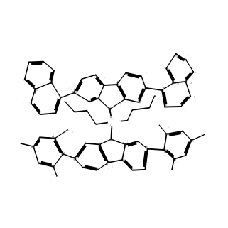 CCC[CH2][Zr]([CH2]CCC)([CH]1c2cc(-c3c(C)cc(C)cc3C)ccc2-c2ccc(-c3c(C)cc(C)cc3C)cc21)[CH]1c2cc(-c3cccc4ccccc34)ccc2-c2ccc(-c3cccc4ccccc34)cc21